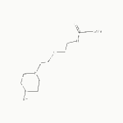 CSC(=O)NCCOCCN1CCN(C(C)C)CC1